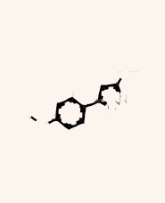 COc1ccc(-c2cc(O)no2)cc1